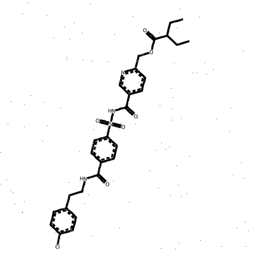 CCC(CC)C(=O)OCc1ccc(C(=O)NS(=O)(=O)c2ccc(C(=O)NCCc3ccc(Cl)cc3)cc2)cn1